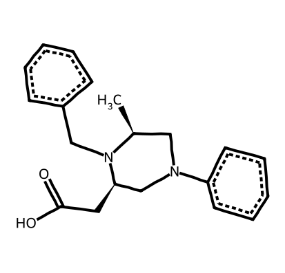 C[C@H]1CN(c2ccccc2)C[C@@H](CC(=O)O)N1Cc1ccccc1